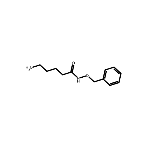 NCCCCC(=O)NOCc1ccccc1